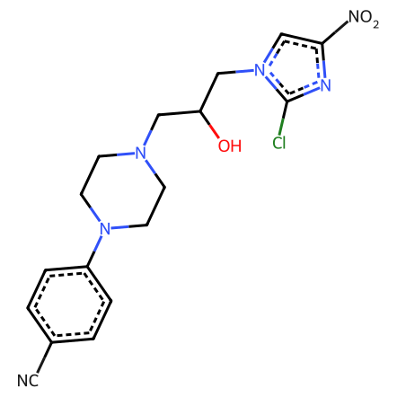 N#Cc1ccc(N2CCN(CC(O)Cn3cc([N+](=O)[O-])nc3Cl)CC2)cc1